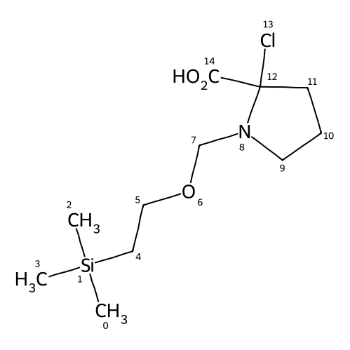 C[Si](C)(C)CCOCN1CCCC1(Cl)C(=O)O